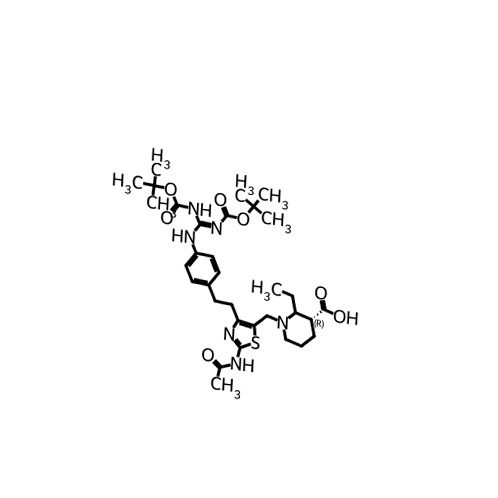 CCC1[C@H](C(=O)O)CCCN1Cc1sc(NC(C)=O)nc1CCc1ccc(NC(=NC(=O)OC(C)(C)C)NC(=O)OC(C)(C)C)cc1